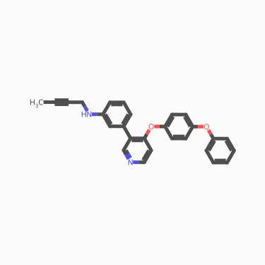 CC#CCNc1cccc(-c2cnccc2Oc2ccc(Oc3ccccc3)cc2)c1